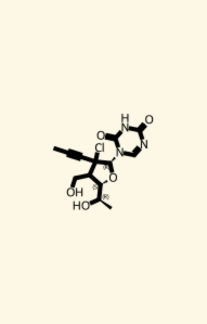 CC#CC1(Cl)C(CO)[C@@H]([C@@H](C)O)O[C@H]1n1cnc(=O)[nH]c1=O